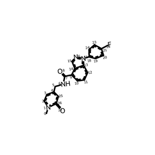 Cn1ccc(CNC(=O)c2cccc3c2cnn3-c2ccc(F)cc2)cc1=O